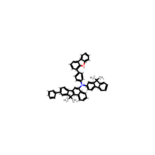 CC1(C)c2ccccc2-c2ccc(N(c3ccc(-c4cccc5c4oc4ccccc45)cc3)c3cc4c(c5ccccc35)C(C)(C)c3cc(-c5ccccc5)ccc3-4)cc21